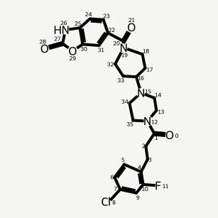 O=C(CCc1ccc(Cl)cc1F)N1CCN(C2CCN(C(=O)c3ccc4[nH]c(=O)oc4c3)CC2)CC1